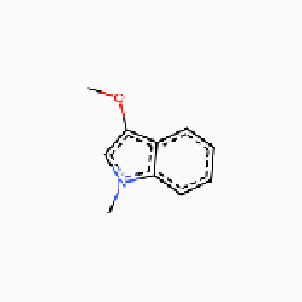 COc1cn(C)c2ccccc12